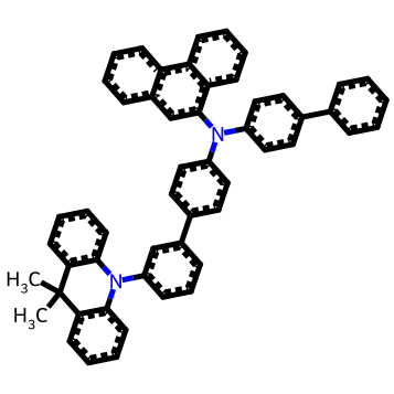 CC1(C)c2ccccc2N(c2cccc(-c3ccc(N(c4ccc(-c5ccccc5)cc4)c4cc5ccccc5c5ccccc45)cc3)c2)c2ccccc21